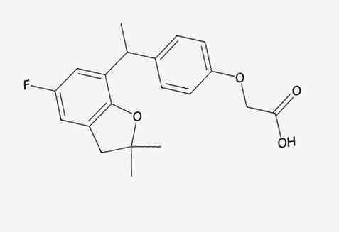 CC(c1ccc(OCC(=O)O)cc1)c1cc(F)cc2c1OC(C)(C)C2